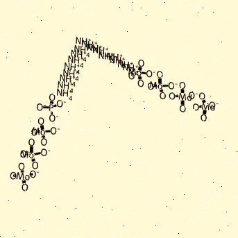 O=P([O-])([O-])[O-].[NH4+].[NH4+].[NH4+].[NH4+].[NH4+].[NH4+].[NH4+].[NH4+].[NH4+].[NH4+].[NH4+].[NH4+].[NH4+].[NH4+].[NH4+].[NH4+].[NH4+].[O]=[Mo](=[O])([O-])[O-].[O]=[Mo](=[O])([O-])[O-].[O]=[Mo](=[O])([O-])[O-].[O]=[Mo](=[O])([O-])[O-].[O]=[Mo](=[O])([O-])[O-].[O]=[Mo](=[O])([O-])[O-].[O]=[Mo](=[O])([O-])[O-]